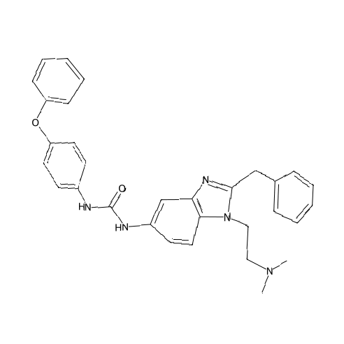 CN(C)CCn1c(Cc2ccccc2)nc2cc(NC(=O)Nc3ccc(Oc4ccccc4)cc3)ccc21